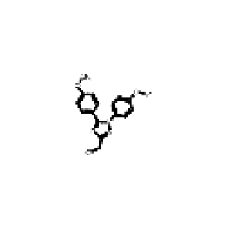 CC(C)Oc1ccc(-n2nc(CCl)nc2-c2ccc(OC(F)(F)F)cc2)cc1